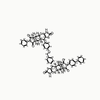 O=C1[C@@H]2[C@H]3C[C@H]([C@@H]4Sc5[nH]c(=O)sc5[C@@H](c5ccc(OCc6ccc([C@H]7c8sc(=O)[nH]c8S[C@@H]8[C@@H]9C[C@@H]([C@@H]%10C(=O)N(c%11ccc(-c%12ccccc%12)cc%11)C(=O)[C@H]9%10)[C@H]78)cc6)cc5)[C@H]34)[C@@H]2C(=O)N1c1ccccc1